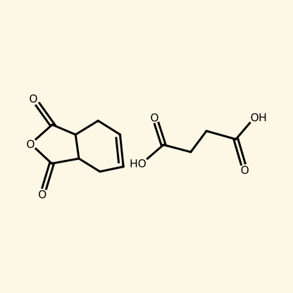 O=C(O)CCC(=O)O.O=C1OC(=O)C2CC=CCC12